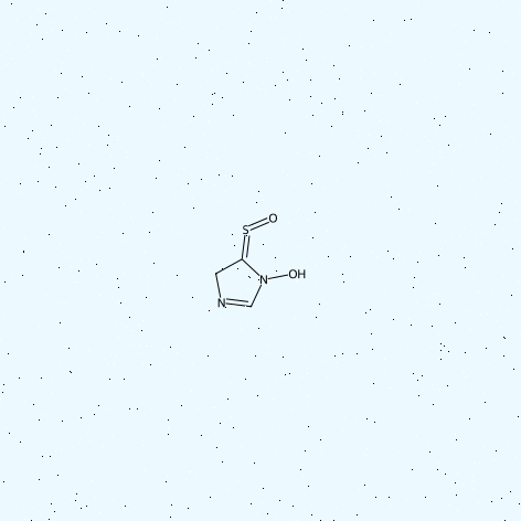 O=S=C1CN=CN1O